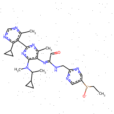 CC[S+]([O-])c1cnc(CN/C(C=O)=N/c2c(C)nc(-c3c(C)ncnc3C3CC3)nc2N(C)C(C)C2CC2)nc1